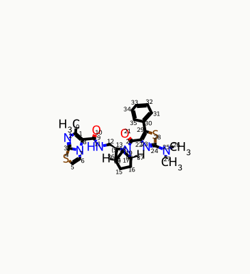 Cc1nc2sccn2c1C(=O)NC[C@@H]1[C@H]2CC[C@H](C2)N1C(=O)c1nc(N(C)C)sc1-c1ccccc1